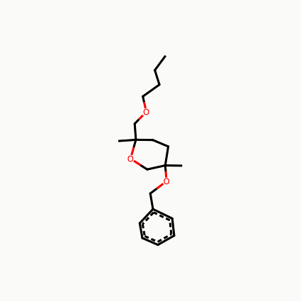 CCCCOCC1(C)CCC(C)(OCc2ccccc2)CO1